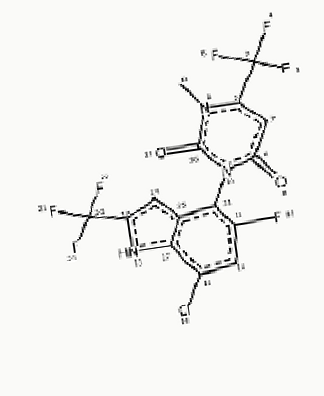 Cn1c(C(F)(F)F)cc(=O)n(-c2c(F)cc(Cl)c3[nH]c(C(F)(F)F)cc23)c1=O